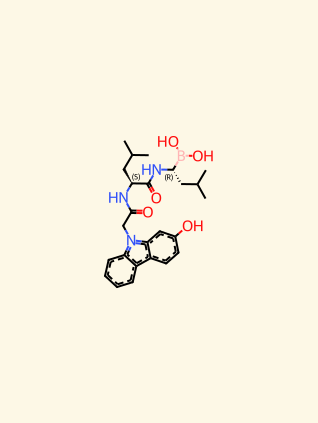 CC(C)C[C@H](NC(=O)[C@H](CC(C)C)NC(=O)Cn1c2ccccc2c2ccc(O)cc21)B(O)O